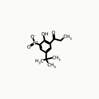 CCC(=O)c1cc(C(C)(C)C)cc([N+](=O)[O-])c1O